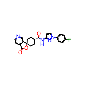 O=C1O[C@]2(CC[C@@H](C(=O)Nc3ccn(-c4ccc(F)cc4)n3)CC2)c2cnccc21